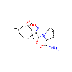 CC1CCCC(C)(/C(=N\O)C(=O)N2C(C(N)=O)CC3CC32)C[C@@](C)(O)C1